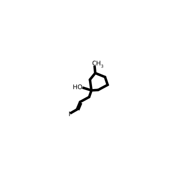 CC1CCCC(O)(C/C=C/I)C1